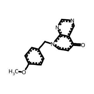 COc1ccc(Cn2ccc(=O)c3cncnc32)cc1